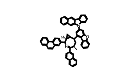 C[C@@H]1CC(c2cc(-n3c4ccccc4c4cc5ccccc5cc43)cc3oc4ccccc4c23)C2C[C@H]2C(c2ccc3c(ccc4ccccc43)c2)/N=C\1c1ccc2ccccc2c1